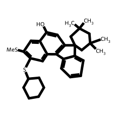 CSc1cc2c(O)cc3c(c2cc1SC1CCCCC1)-c1ccccc1C31CC(C)(C)CC(C)(C)C1